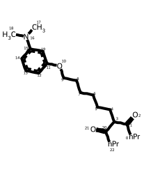 CCCC(=O)C(CCCCCCOc1cccc(N(C)C)c1)C(=O)CCC